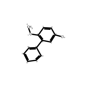 COc1ccc(Cl)cc1-c1ccccc1